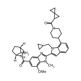 COc1cc(C(=O)N2C[C@H]3CC[C@@H]2[C@@H]3N)cc2nc(-c3cc4cccc(C5CCN(C(=O)C6CC67CC7)CC5)c4n3CC3CC3)n(C)c12